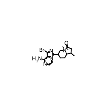 CC1CC(=O)[N+]2(C)CC(c3nc(Br)c4c(N)nccn34)CCC12